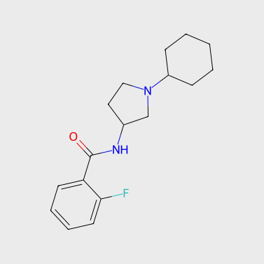 O=C(NC1CCN(C2CCCCC2)C1)c1ccccc1F